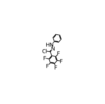 Fc1c(F)c(F)c(C(Cl)=NNc2ccccc2)c(F)c1F